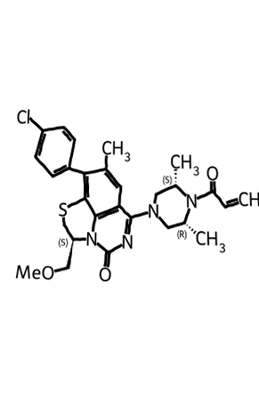 C=CC(=O)N1[C@H](C)CN(c2nc(=O)n3c4c(c(-c5ccc(Cl)cc5)c(C)cc24)SC[C@@H]3COC)C[C@@H]1C